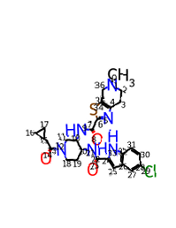 CN1CCc2nc(C(=O)N[C@@H]3CN(C(=O)C4CC4)CC[C@@H]3NC(=O)c3cc4cc(Cl)ccc4[nH]3)sc2C1